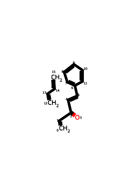 C=CC(=O)C=Cc1ccccc1.C=CC=C